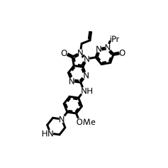 C=CCn1c(=O)c2cnc(Nc3ccc(N4CCNCC4)c(OC)c3)nc2n1-c1ccc(=O)n(C(C)C)n1